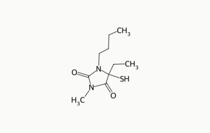 CCCCN1C(=O)N(C)C(=O)C1(S)CC